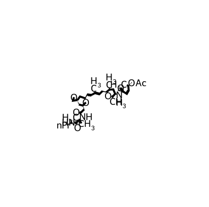 CCCNC(=O)C(C)(C)NC(=O)C[C@@H]1C[C@@]2(CO2)C[C@@H](/C=C/C(C)=C/C[C@@H]2O[C@H](C)[C@H](NC(=O)/C=C\[C@H](C)OC(C)=O)C[C@@H]2C)O1